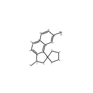 CN1CC2(CCCC2)c2c1cnc1ccc(Br)cc21